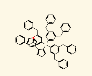 [Cl-].[Cl-].[Cl-].[Ti+3][C]1=C(c2ccccc2)C([Si](c2cc(Cc3ccccc3)cc(Cc3ccccc3)c2)(c2cc(Cc3ccccc3)cc(Cc3ccccc3)c2)c2cc(Cc3ccccc3)cc(Cc3ccccc3)c2)=CC1